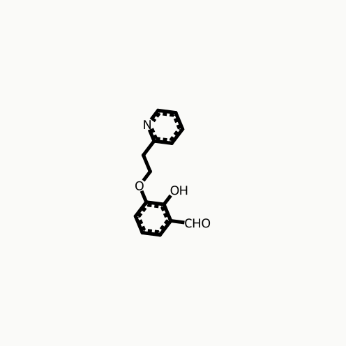 O=Cc1cccc(OCCc2ccccn2)c1O